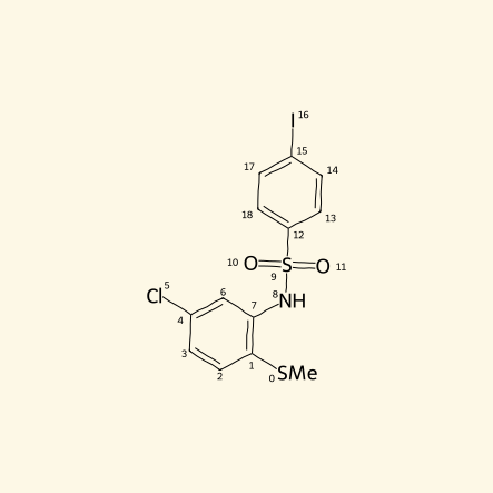 CSc1ccc(Cl)cc1NS(=O)(=O)c1ccc(I)cc1